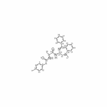 Cc1ccc(CC(=O)NC(C)C(=O)N[C@@H]2CN(C)c3ccccc3C(c3ccccc3)=N2)cc1